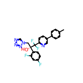 Cc1ccc(-c2ccc(C(F)(F)[C@](O)(Cn3cnnn3)c3ccc(F)cc3F)nc2)cc1